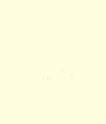 COCCOc1cccc(-n2nc(C(C)(C)C)cc2N)c1